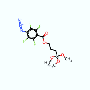 CO[Si](CCCOC(=O)c1c(F)c(F)c(N=[N+]=[N-])c(F)c1F)(OC)OC